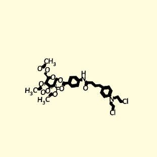 CC(=O)OC[C@H]1OC(OC(=O)c2ccc(NC(=O)CCCc3ccc(N(CCCl)CCCl)cc3)cc2)[C@H](F)[C@@H](OC(C)=O)[C@@H]1OC(C)=O